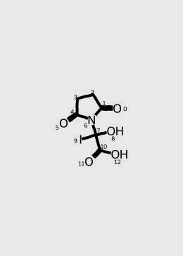 O=C1CCC(=O)N1C(O)(I)C(=O)O